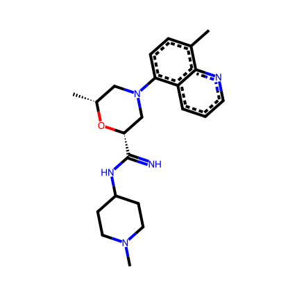 Cc1ccc(N2C[C@@H](C)O[C@@H](C(=N)NC3CCN(C)CC3)C2)c2cccnc12